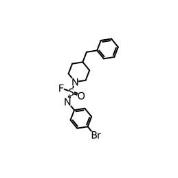 O=S(F)(=Nc1ccc(Br)cc1)N1CCC(Cc2ccccc2)CC1